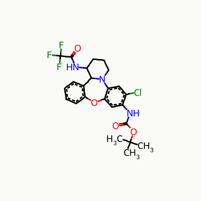 CC(C)(C)OC(=O)Nc1cc2c(cc1Cl)N1CCCC(NC(=O)C(F)(F)F)C1c1ccccc1O2